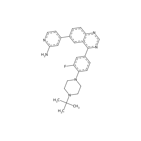 CC(C)(C)N1CCN(c2ccc(-c3ncnc4ccc(-c5ccnc(N)c5)cc34)cc2F)CC1